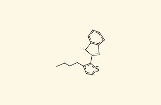 CCCCc1ccsc1C1=Cc2ccccc2[CH]1